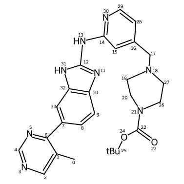 Cc1cncnc1-c1ccc2nc(Nc3cc(CN4CCN(C(=O)OC(C)(C)C)CC4)ccn3)[nH]c2c1